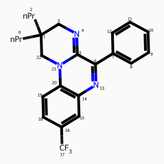 CCCC1(CCC)CN=C2C(c3ccccc3)=Nc3cc(C(F)(F)F)ccc3N2C1